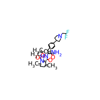 C[C@@H]1CC[C@H](C)N(C(=O)OC(C)(C)C)[C@@H]1C(=O)N[C@@H](Cc1ccc(C2CCN(CC(F)F)CC2)cc1)C(N)=O